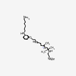 CNCCNC(C)(C)C/N=C(\C)CCNCCOc1cccc(NCCCCCCN)c1